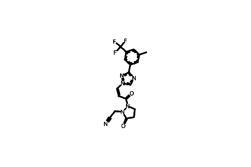 Cc1cc(-c2ncn(/C=C\C(=O)N3CCC(=O)N3CC#N)n2)cc(C(F)(F)F)c1